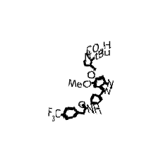 COc1cc2c(-c3ccc(NC(=O)Cc4ccc(C(F)(F)F)cc4)cc3)ncnc2cc1OCC1CCN(C(=O)O)C1C(C)(C)C